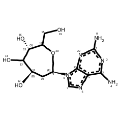 Nc1nc(N)c2ncn([C@H]3C[C@@H](O)C(O)[C@H](O)C(CO)O3)c2n1